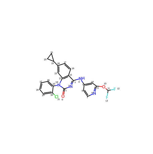 O=c1nc(Nc2ccnc(OC(F)F)c2)c2ccc(C3CC3)cc2n1-c1ccccc1Cl